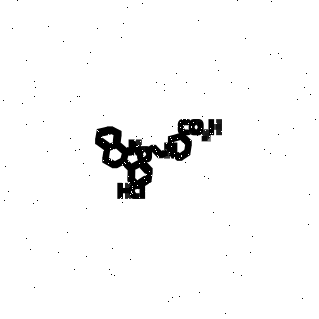 Cl.O=C(O)C1CCCN(CCON=C2c3ccccc3CCC2c2ccccc2)C1